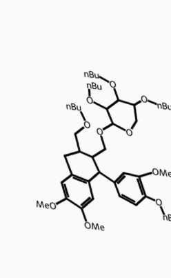 CCCCOCC1Cc2cc(OC)c(OC)cc2C(c2ccc(OCCCC)c(OC)c2)C1COC1OCC(OCCCC)C(OCCCC)C1OCCCC